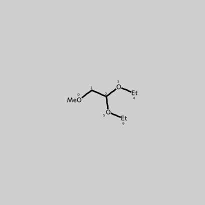 [CH2]OCC(OCC)OCC